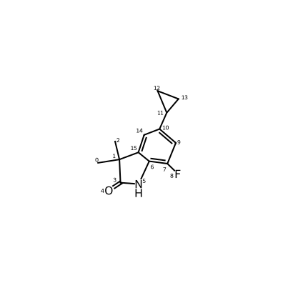 CC1(C)C(=O)Nc2c(F)cc(C3CC3)cc21